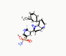 NS(=O)(=O)c1cncc(-c2ccc3nccc(-c4cccc(C(F)(F)F)c4)c3n2)c1